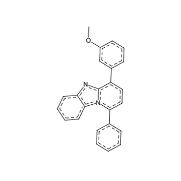 COc1cccc(-c2ccc(-c3ccccc3)n3c2nc2ccccc23)c1